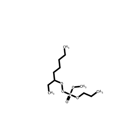 CCCCCC(CC)OOP(=O)(OC)OCCC